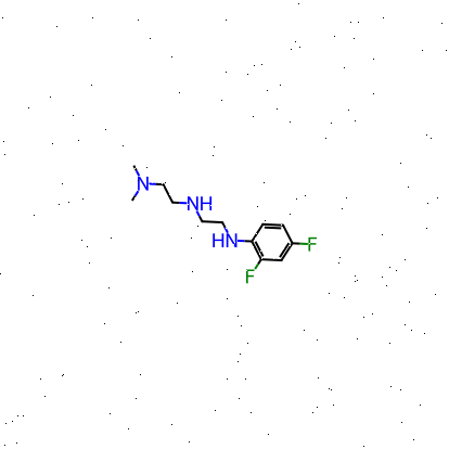 CN(C)CCNCCNc1ccc(F)cc1F